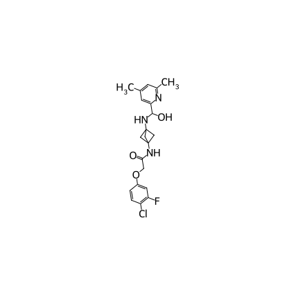 Cc1cc(C)nc(C(O)NC23CC(NC(=O)COc4ccc(Cl)c(F)c4)(C2)C3)c1